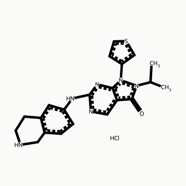 CC(C)n1c(=O)c2cnc(Nc3ccc4c(c3)CCNC4)nc2n1-c1ccsc1.Cl